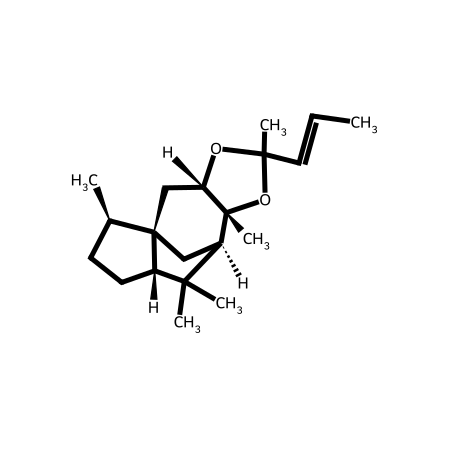 C/C=C/C1(C)O[C@H]2C[C@@]34C[C@H](C(C)(C)[C@@H]3CC[C@H]4C)[C@@]2(C)O1